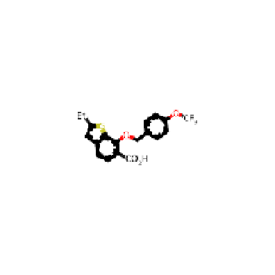 CCc1cc2ccc(C(=O)O)c(OCc3ccc(OC(F)(F)F)cc3)c2s1